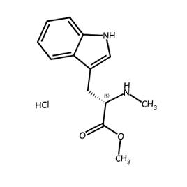 CN[C@@H](Cc1c[nH]c2ccccc12)C(=O)OC.Cl